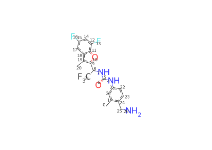 Cc1cc(NC(=O)NC(c2oc3c(F)cc(F)cc3c2C)C(F)(F)F)ccc1CN